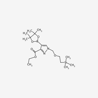 CCOC(=O)c1nn(COCC[Si](C)(C)C)cc1B1OC(C)(C)C(C)(C)O1